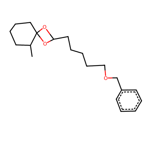 CC1CCCCC12OC(CCCCCOCc1ccccc1)O2